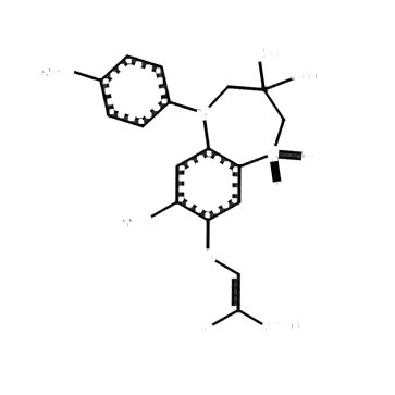 CCCCC1(CCCC)CN(c2ccc(OC)cc2)c2cc(SC)c(OC=C(F)C(=O)O)cc2S(=O)(=O)C1